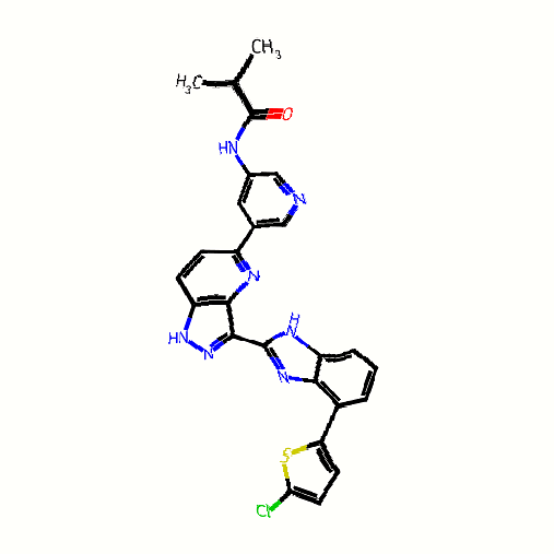 CC(C)C(=O)Nc1cncc(-c2ccc3[nH]nc(-c4nc5c(-c6ccc(Cl)s6)cccc5[nH]4)c3n2)c1